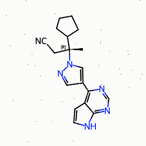 C[C@@](CC#N)(C1CCCC1)n1cc(-c2ncnc3[nH]ccc23)cn1